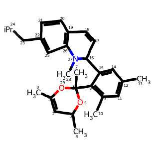 CC1=CC(C)OC(C)(c2c(C)cc(C)cc2C2C=Cc3ccc(CC(C)C)cc3N2C)O1